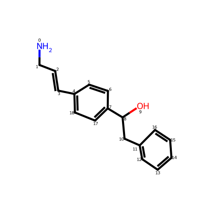 NCC=Cc1ccc(C(O)Cc2ccccc2)cc1